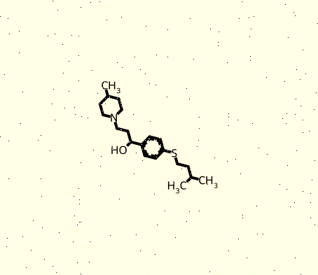 CC(C)CCSc1ccc(C(O)CCN2CCC(C)CC2)cc1